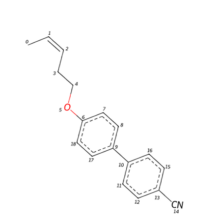 C/C=C\CCOc1ccc(-c2ccc(C#N)cc2)cc1